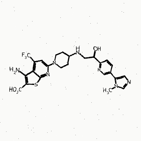 Cn1cncc1-c1ccc(C(O)CNC2CCN(c3cc(C(F)(F)F)c4c(N)c(C(=O)O)sc4n3)CC2)nc1